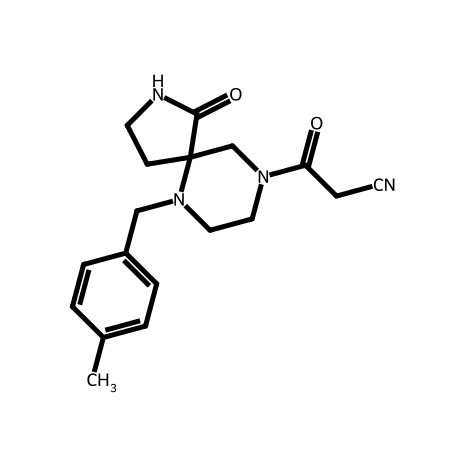 Cc1ccc(CN2CCN(C(=O)CC#N)CC23CCNC3=O)cc1